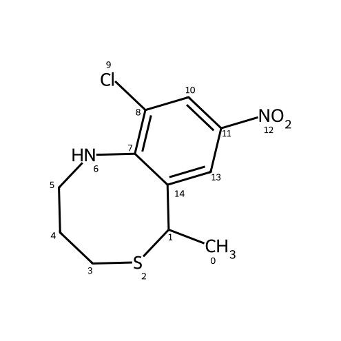 CC1SCCCNc2c(Cl)cc([N+](=O)[O-])cc21